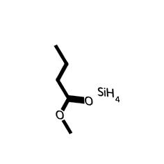 CCCC(=O)OC.[SiH4]